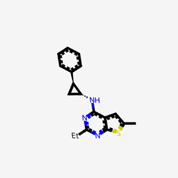 CCc1nc(N[C@@H]2C[C@H]2c2ccccc2)c2cc(C)sc2n1